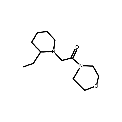 CCC1C[CH]CCN1CC(=O)N1CCOCC1